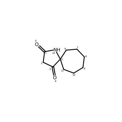 O=C1CC(=O)C2(CCCCCC2)N1